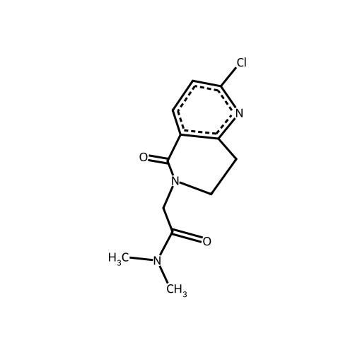 CN(C)C(=O)CN1CCc2nc(Cl)ccc2C1=O